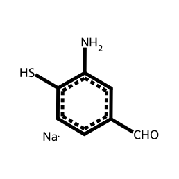 Nc1cc(C=O)ccc1S.[Na]